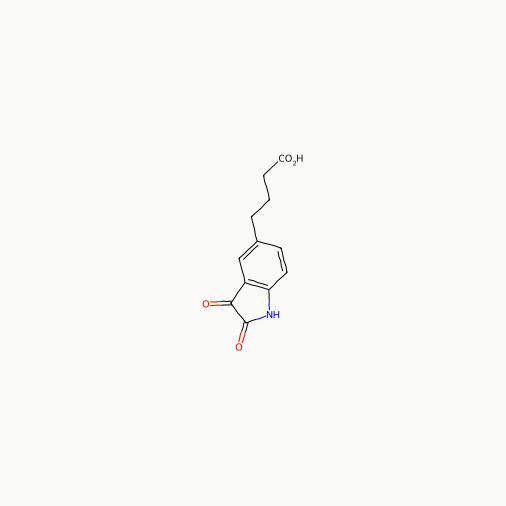 O=C(O)CCCc1ccc2c(c1)C(=O)C(=O)N2